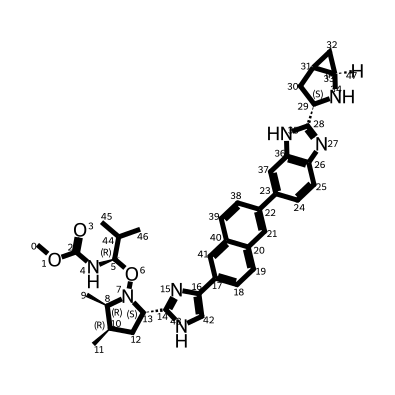 COC(=O)N[C@H](ON1[C@H](C)[C@H](C)C[C@H]1c1nc(-c2ccc3cc(-c4ccc5nc([C@@H]6CC7C[C@H]7N6)[nH]c5c4)ccc3c2)c[nH]1)C(C)C